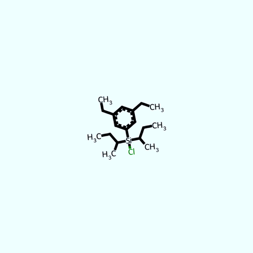 CCc1cc(CC)cc([Si](Cl)(C(C)CC)C(C)CC)c1